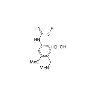 CCSC(=N)Nc1ccc(CNC)c(OC)c1.Cl.Cl